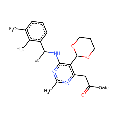 CCC(Nc1nc(C)nc(CC(=O)OC)c1C1OCCCO1)c1cccc(C(F)(F)F)c1C